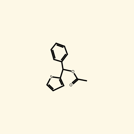 CC(=O)OC(c1ccccc1)c1cccs1